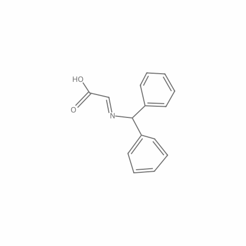 O=C(O)/C=N/C(c1ccccc1)c1ccccc1